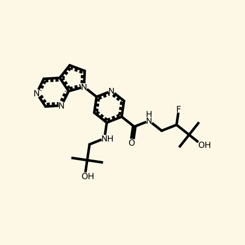 CC(C)(O)CNc1cc(-n2ccc3cncnc32)ncc1C(=O)NCC(F)C(C)(C)O